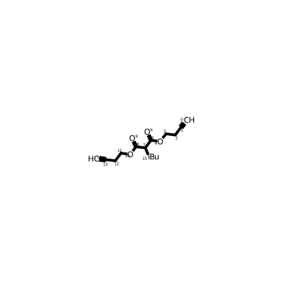 C#CCCOC(=O)C(C(=O)OCCC#C)C(C)CC